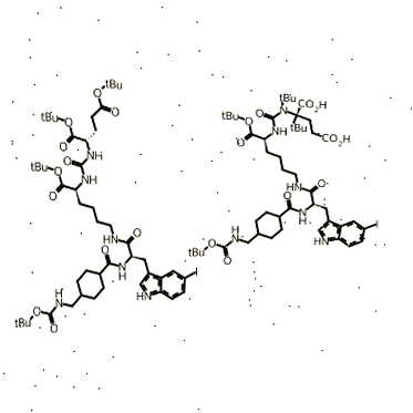 CC(C)(C)OC(=O)CC[C@H](NC(=O)N[C@@H](CCCCNC(=O)[C@@H](Cc1c[nH]c2ccc(I)cc12)NC(=O)C1CCC(CNC(=O)OC(C)(C)C)CC1)C(=O)OC(C)(C)C)C(=O)OC(C)(C)C.CC(C)(C)OC(=O)NCC1CCC(C(=O)N[C@H](Cc2c[nH]c3ccc(I)cc23)C(=O)NCCCC[C@H](NC(=O)N(C(C)(C)C)[C@@](CCC(=O)O)(C(=O)O)C(C)(C)C)C(=O)OC(C)(C)C)CC1